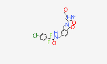 CNC(=O)C(CCC=O)N1Cc2cc(CNC(=O)C(F)(F)c3ccc(Cl)cc3)ccc2C1=O